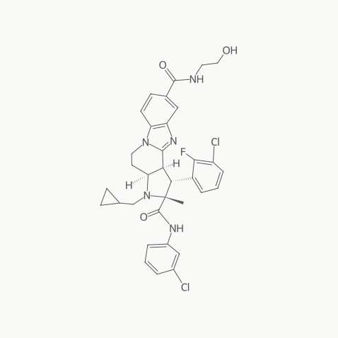 C[C@]1(C(=O)Nc2cccc(Cl)c2)[C@@H](c2cccc(Cl)c2F)[C@@H]2c3nc4cc(C(=O)NCCO)ccc4n3CC[C@@H]2N1CC1CC1